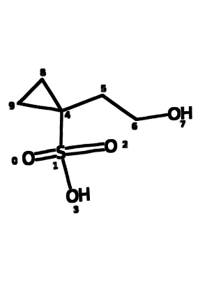 O=S(=O)(O)C1(CCO)CC1